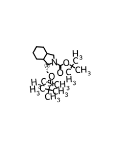 CC(C)(C)OC(=O)N1CC2CCCCC2[C@H]1CO[Si](C)(C)C(C)(C)C